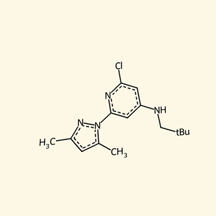 Cc1cc(C)n(-c2cc(NCC(C)(C)C)cc(Cl)n2)n1